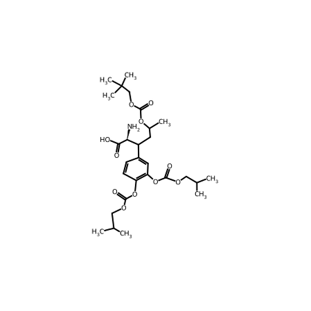 CC(C)COC(=O)Oc1ccc(C(CC(C)OC(=O)OCC(C)(C)C)[C@H](N)C(=O)O)cc1OC(=O)OCC(C)C